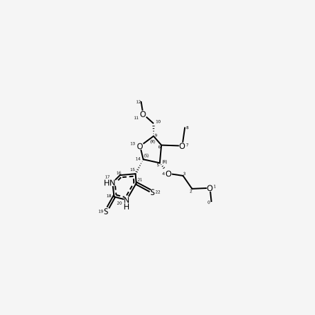 COCCO[C@H]1C(OC)[C@@H](COC)O[C@H]1c1c[nH]c(=S)[nH]c1=S